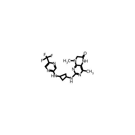 Cc1nc(NC2CC(Nc3cnc(C(F)(F)F)cn3)C2)nc2c1NC(=O)CN2C